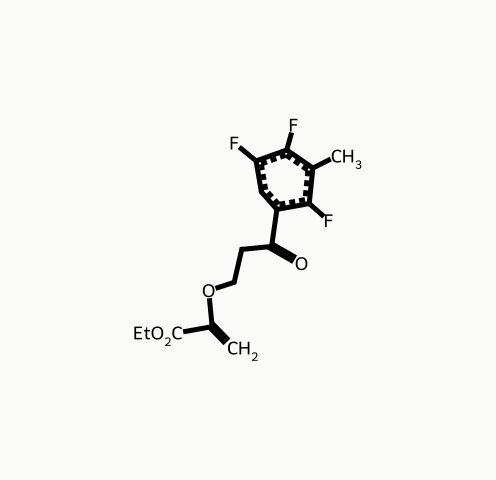 C=C(OCCC(=O)c1cc(F)c(F)c(C)c1F)C(=O)OCC